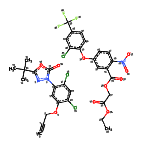 C#CCOc1cc(-n2nc(C(C)(C)C)oc2=O)c(Cl)cc1Cl.CCOC(=O)COC(=O)c1cc(Oc2ccc(C(F)(F)F)cc2Cl)ccc1[N+](=O)[O-]